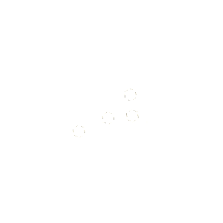 Cc1cc(C2OCc3cc(OCc4ccccc4)ccc3C2c2ccc(Br)cc2)ccc1F